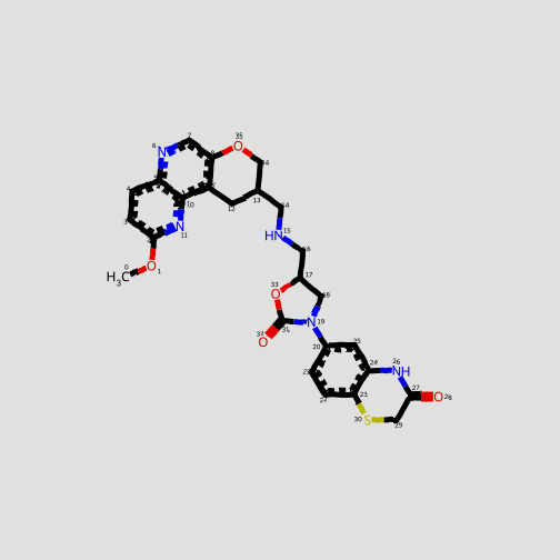 COc1ccc2ncc3c(c2n1)CC(CNCC1CN(c2ccc4c(c2)NC(=O)CS4)C(=O)O1)CO3